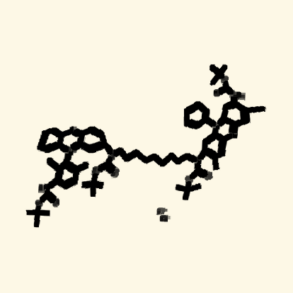 Cc1cc2nc3cc(C)c(N(CCCCCCCCCN(C(=O)OC(C)(C)C)c4ccc5nc6ccccc6[n+](-c6c(C)ccc(NC(=O)OC(C)(C)C)c6C)c5c4)C(=O)OC(C)(C)C)cc3[n+](-c3ccccc3)c2cc1NC(=O)OC(C)(C)C.[Cl-].[Cl-]